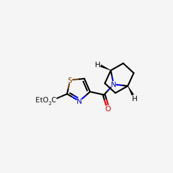 CCOC(=O)c1nc(C(=O)N2[C@H]3CC[C@@H]2CC3)cs1